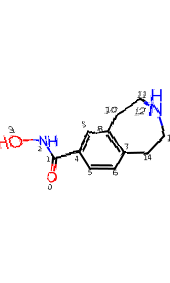 O=C(NO)c1ccc2c(c1)CCNCC2